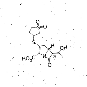 CC(O)[C@H]1C(=O)N2C(C(=O)O)=C(SC3CCS(=O)(=O)C3)C[C@H]12